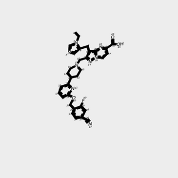 CCn1cncc1Cc1c(CN2CCC(c3cccc(OCc4ccc(C#N)cc4F)n3)CC2)nn2ccc(C(=O)O)nc12